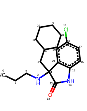 N#CCCNC1(CC2CCCCC2)C(=O)Nc2ccc(Cl)cc21